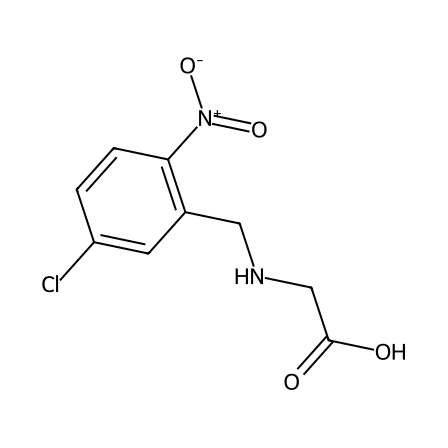 O=C(O)CNCc1cc(Cl)ccc1[N+](=O)[O-]